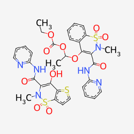 CCOC(=O)OC(C)OC1=C(C(=O)Nc2ccccn2)N(C)S(=O)(=O)c2ccccc21.CN1C(C(=O)Nc2ccccn2)=C(O)c2sccc2S1(=O)=O